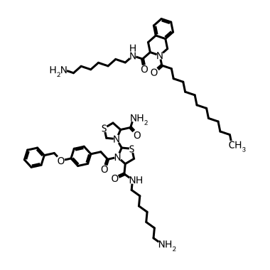 CCCCCCCCCCCCC(=O)N1Cc2ccccc2CC1C(=O)NCCCCCCCN.NCCCCCCCNC(=O)C1CSC(N2CSCC2C(N)=O)N1C(=O)Cc1ccc(OCc2ccccc2)cc1